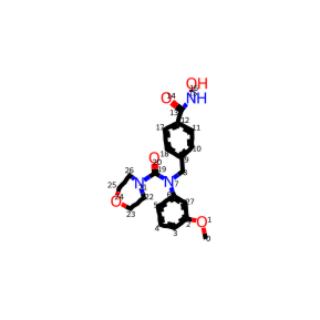 COc1cccc(N(Cc2ccc(C(=O)NO)cc2)C(=O)N2CCOCC2)c1